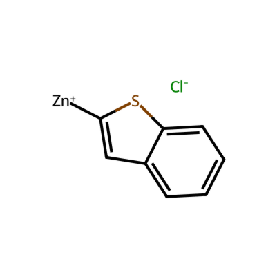 [Cl-].[Zn+][c]1cc2ccccc2s1